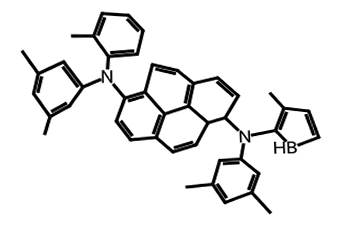 CC1=C(N(c2cc(C)cc(C)c2)C2C=Cc3ccc4c(N(c5cc(C)cc(C)c5)c5ccccc5C)ccc5c4c3C2C=C5)BC=C1